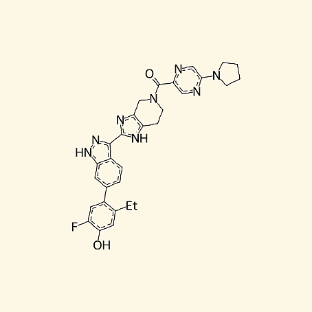 CCc1cc(O)c(F)cc1-c1ccc2c(-c3nc4c([nH]3)CCN(C(=O)c3cnc(N5CCCC5)cn3)C4)n[nH]c2c1